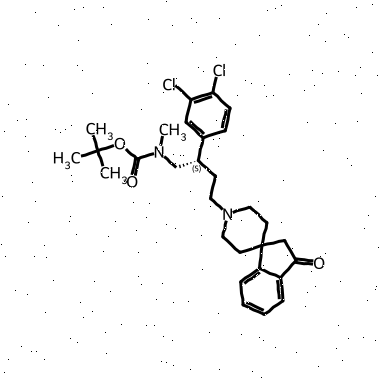 CN(C[C@@H](CCN1CCC2(CC1)CC(=O)c1ccccc12)c1ccc(Cl)c(Cl)c1)C(=O)OC(C)(C)C